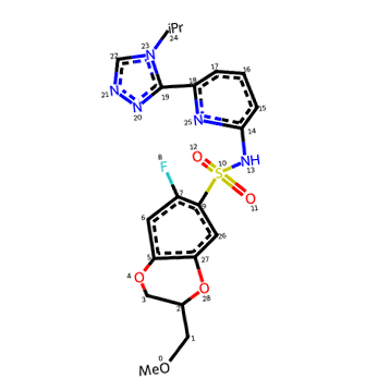 COCC1COc2cc(F)c(S(=O)(=O)Nc3cccc(-c4nncn4C(C)C)n3)cc2O1